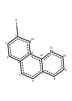 Ic1ccc2ccc3cccnc3c2n1